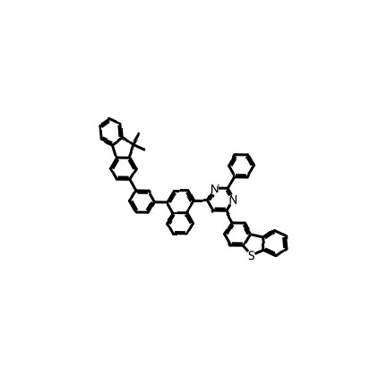 CC1(C)c2ccccc2-c2ccc(-c3cccc(-c4ccc(-c5cc(-c6ccc7sc8ccccc8c7c6)nc(-c6ccccc6)n5)c5ccccc45)c3)cc21